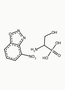 NC(CO)P(=O)(O)O.O=[N+]([O-])c1cccc2onnc12